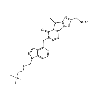 CC(=O)NCc1nc2c(s1)c1cnn(Cc3cccc4c3cnn4COCC[Si](C)(C)C)c(=O)c1n2C